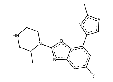 Cc1nc(-c2cc(Cl)cc3nc(N4CCNCC4C)oc23)cs1